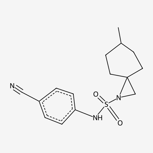 CC1CCC2(CC1)CN2S(=O)(=O)Nc1ccc(C#N)cc1